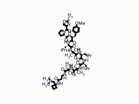 COc1ccc(C[C@H](NC(=O)[C@@H]2CCCN2C(=O)c2coc(C)n2)C(=O)N[C@@H](CC(C)C)C(=O)NC(C)(C)C(=O)N[C@@H](CC(C)C)C(=O)N[C@@H](CC(C)C)C(=O)NC(C)(C)C(=O)NC(C)(C)C(=O)NCCC(=O)NC2(CN(C)C)CCC2)cc1